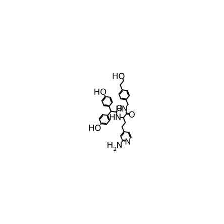 Nc1cc(CCC(NC(=O)C(c2ccc(O)cc2)c2ccc(O)cc2)C(=O)NCc2ccc(CCO)cc2)ccn1